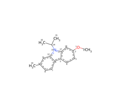 COc1ccc2c3ccc(C)cc3n(C(C)C)c2c1